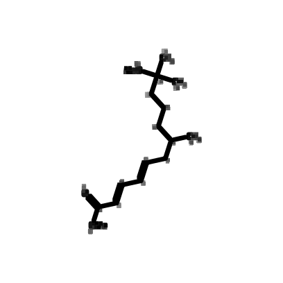 COC(=O)C=CC=CCC(C)CCCC(C)(C)OC